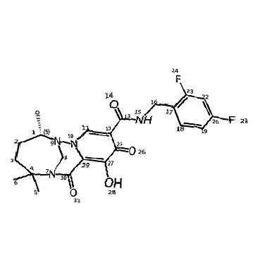 C[C@H]1CCC(C)(C)N2CN1n1cc(C(=O)NCc3ccc(F)cc3F)c(=O)c(O)c1C2=O